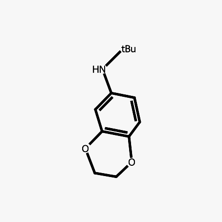 CC(C)(C)Nc1ccc2c(c1)OCCO2